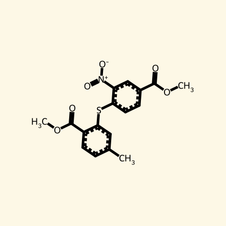 COC(=O)c1ccc(Sc2cc(C)ccc2C(=O)OC)c([N+](=O)[O-])c1